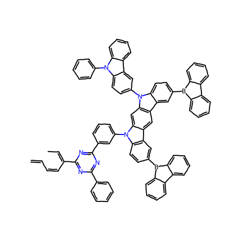 C=C/C=C\C(=C/C)c1nc(-c2ccccc2)nc(-c2cccc(-n3c4ccc(B5c6ccccc6-c6ccccc65)cc4c4cc5c6cc(B7c8ccccc8-c8ccccc87)ccc6n(-c6ccc7c(c6)c6ccccc6n7-c6ccccc6)c5cc43)c2)n1